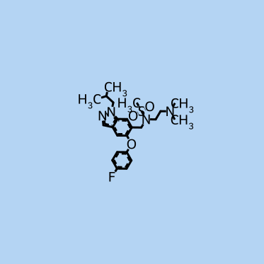 CC(C)Cn1ncc2cc(Oc3ccc(F)cc3)c(CN(CCN(C)C)S(C)(=O)=O)cc21